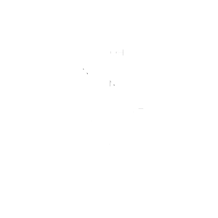 Oc1nc2c(ccc3c4ccccc4cc(O)c32)[nH]1